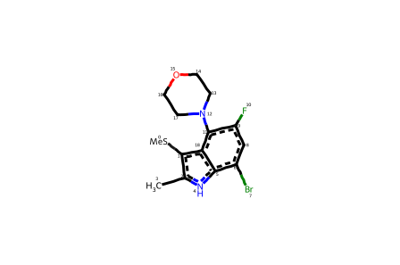 CSc1c(C)[nH]c2c(Br)cc(F)c(N3CCOCC3)c12